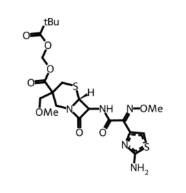 COCC1(C(=O)OCOC(=O)C(C)(C)C)CS[C@@H]2C(NC(=O)C(=NOC)c3csc(N)n3)C(=O)N2C1